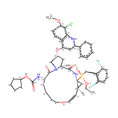 CCOP(=O)(Cc1c(F)cccc1F)[C@@]12C[C@H]1/C=C\OCCCC[C@H](NC(=O)OC1CCCC1)C(=O)N1C[C@H](Oc3cc(-c4ccccc4)nc4c(Cl)c(OC)ccc34)C[C@H]1C(=O)N2